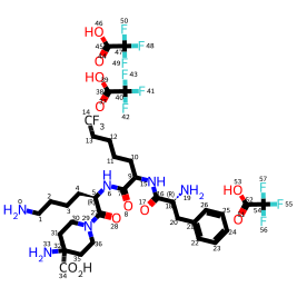 NCCCC[C@@H](NC(=O)C(CCCCC(F)(F)F)NC(=O)[C@H](N)Cc1ccccc1)C(=O)N1CCC(N)(C(=O)O)CC1.O=C(O)C(F)(F)F.O=C(O)C(F)(F)F.O=C(O)C(F)(F)F